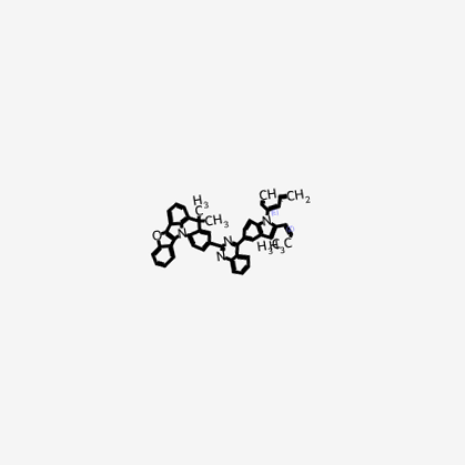 C=C/C=C(\C=C)n1c(/C=C\C)c(C)c2cc(-c3nc(-c4ccc5c(c4)C(C)(C)c4cccc6c7oc8ccccc8c7n-5c46)nc4ccccc34)ccc21